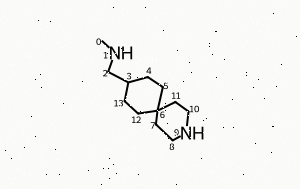 CNCC1CCC2(CCNCC2)CC1